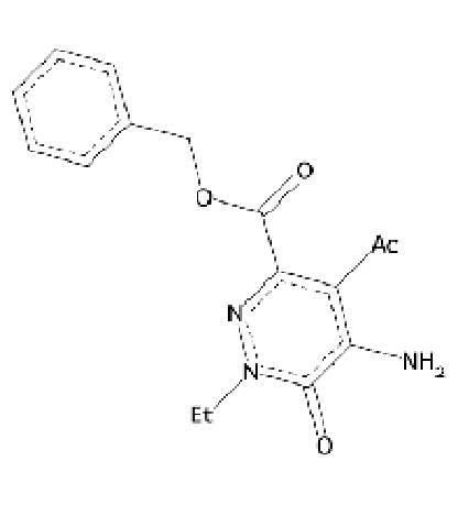 CCn1nc(C(=O)OCc2ccccc2)c(C(C)=O)c(N)c1=O